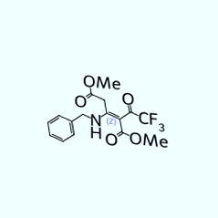 COC(=O)C/C(NCc1ccccc1)=C(/C(=O)OC)C(=O)C(F)(F)F